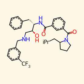 CC(C)CC1CCCN1C(=O)c1cccc(C(=O)N[C@@H](Cc2ccccc2)[C@@H](O)CNCc2cccc(C(F)(F)F)c2)c1